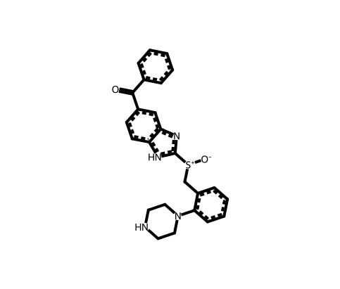 O=C(c1ccccc1)c1ccc2[nH]c([S+]([O-])Cc3ccccc3N3CCNCC3)nc2c1